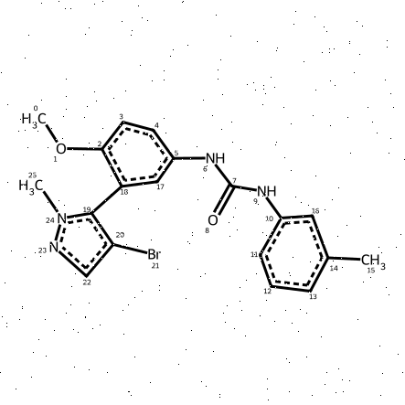 COc1ccc(NC(=O)Nc2cccc(C)c2)cc1-c1c(Br)cnn1C